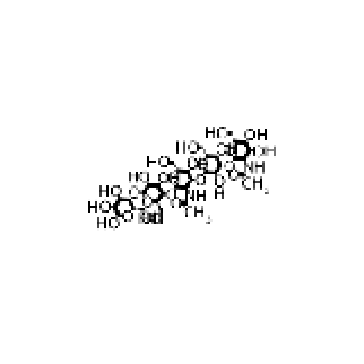 CC(=O)N[C@H]1[C@H](O[C@H]2[C@@H](O)[C@@H](CO)O[C@@H](O[C@H]3[C@@H](O)[C@@H](CO)O[C@@H](O[C@@H]4[C@H](O)[C@@H](O)[C@H](O[C@H]5[C@H](O)[C@@H](O)[C@H](O)O[C@@H]5CO)O[C@@H]4CO)[C@@H]3NC(C)=O)[C@@H]2O)O[C@H](CO)[C@@H](O)[C@@H]1O